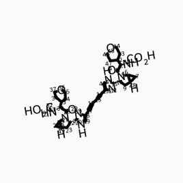 O=C(O)N[C@@H](C(=O)N1C2C[C@@H]2C[C@H]1c1nc(C#CC#Cc2c[nH]c([C@@H]3C[C@H]4CC4N3C(=O)[C@H](NC(=O)O)C3CCOCC3)n2)c[nH]1)C1CCOCC1